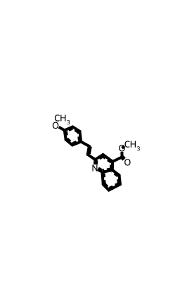 COC(=O)c1cc(C=Cc2ccc(OC)cc2)nc2ccccc12